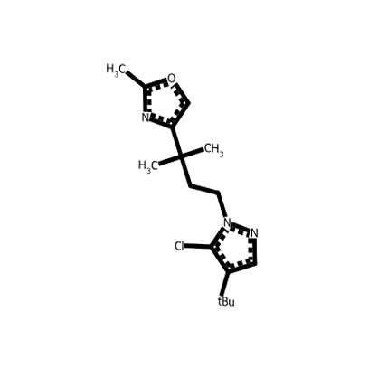 Cc1nc(C(C)(C)CCn2ncc(C(C)(C)C)c2Cl)co1